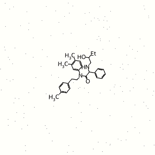 CCC(O)CNC(C(=O)N(CCc1ccc(C)cc1)c1ccc(C)c(C)c1)c1ccccc1